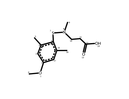 COc1cc(C)c(SN(C)CCC(=O)O)c(C)c1